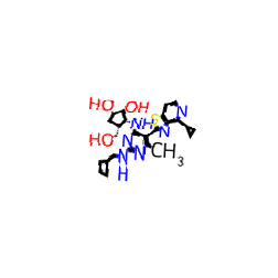 Cc1nc(NCC2CCC2)nc(N[C@@H]2[C@H](CO)C[C@@H](O)[C@H]2O)c1-c1nc2c(C3CC3)nccc2s1